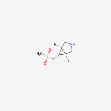 CS(=O)(=O)CC1[C@H]2CNC[C@@H]12